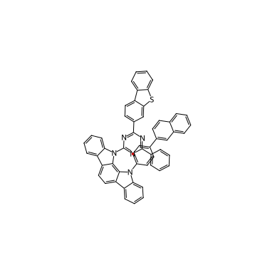 c1ccc(-c2nc(-c3ccc4c(c3)sc3ccccc34)nc(-n3c4ccccc4c4ccc5c6ccccc6n(-c6ccc(-c7ccc8ccccc8c7)cc6)c5c43)n2)cc1